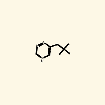 CC(C)(C)CC1=CNCN=N1